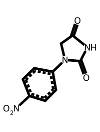 O=C1CN(c2ccc([N+](=O)[O-])cc2)C(=O)N1